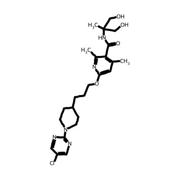 Cc1cc(OCCCC2CCN(c3ncc(Cl)cn3)CC2)nc(C)c1C(=O)NC(C)(CO)CO